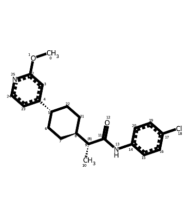 COc1cc([C@H]2CC[C@H]([C@@H](C)C(=O)Nc3ccc(Cl)cc3)CC2)ccn1